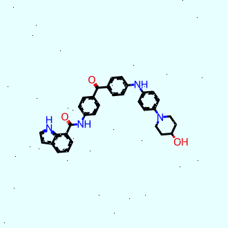 O=C(c1ccc(NC(=O)c2cccc3cc[nH]c23)cc1)c1ccc(Nc2ccc(N3CCC(O)CC3)cc2)cc1